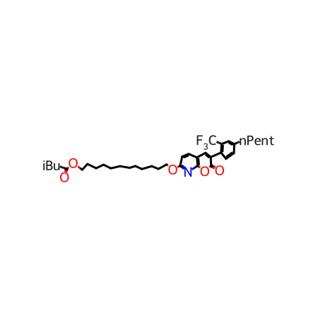 CCCCCc1ccc(-c2cc3ccc(OCCCCCCCCCCCCOC(=O)C(C)CC)nc3oc2=O)c(C(F)(F)F)c1